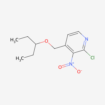 CCC(CC)OCc1ccnc(Cl)c1[N+](=O)[O-]